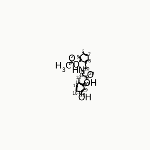 CC(=O)Oc1ccccc1CN[C@@H](Cc1ccc(O)cc1)C(=O)O